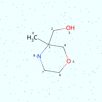 CC1(CO)COCC[N]1